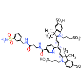 CC1(C)C(/C=C/C(=C/C=C2/N(CCCS(=O)(=O)O)c3ccc(S(=O)(=O)O)cc3C2(C)C)c2ccc(C(=O)NCCC(=O)NCc3cccc(S(N)(=O)=O)c3)cn2)=[N+](CCCS(=O)(=O)O)c2ccc(S(=O)(=O)O)cc21